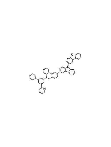 c1ccc(-c2cc(-c3ccccn3)cc(C3Cc4ccc(-c5ccc6c(c5)c5ccccc5n6-c5ccc6sc7ccccc7c6c5)cc4-c4ccccc43)c2)cc1